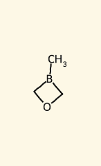 CB1COC1